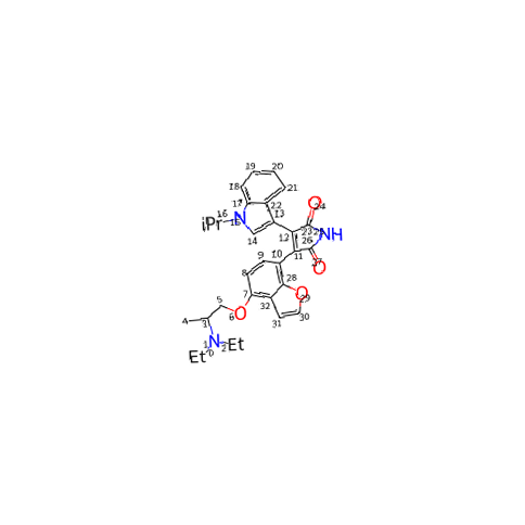 CCN(CC)C(C)COc1ccc(C2=C(c3cn(C(C)C)c4ccccc34)C(=O)NC2=O)c2occc12